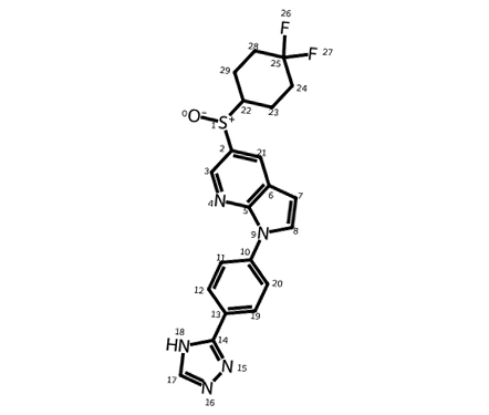 [O-][S+](c1cnc2c(ccn2-c2ccc(-c3nnc[nH]3)cc2)c1)C1CCC(F)(F)CC1